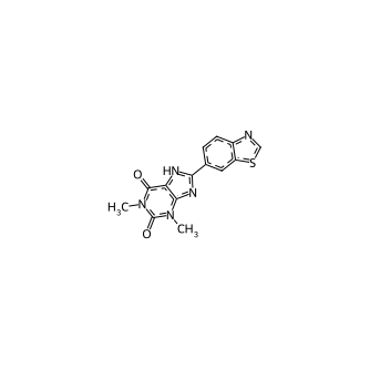 Cn1c(=O)c2[nH]c(-c3ccc4ncsc4c3)nc2n(C)c1=O